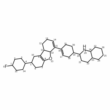 FC1CCC(C2CCC3=C(C2)C2CCC=C(C4=CCC(C5CCC6CCCCC6N5)CC4)C2O3)CC1